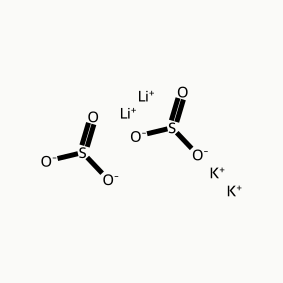 O=S([O-])[O-].O=S([O-])[O-].[K+].[K+].[Li+].[Li+]